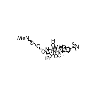 CNCCOCCOCCOc1cc(C(C(=O)N2C[C@H](O)C[C@H]2C(=O)N[C@@H](C)c2ccc(-c3scnc3C)cc2OC)C(C)C)on1